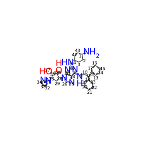 NC1CCC(Nc2nc(NCC(c3ccccc3)c3ccccc3)c3ncn([C@@H]4CC(n5cccn5)[C@H](O)[C@H]4O)c3n2)CC1